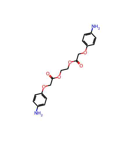 Nc1ccc(OCC(=O)OCCOC(=O)COc2ccc(N)cc2)cc1